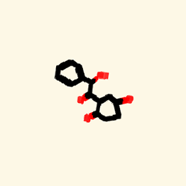 O=C1CCC(=O)C(C(=O)C(O)c2ccccc2)C1